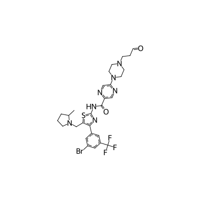 CC1CCCN1Cc1sc(NC(=O)c2cnc(N3CCN(CCC=O)CC3)cn2)nc1-c1cc(Br)cc(C(F)(F)F)c1